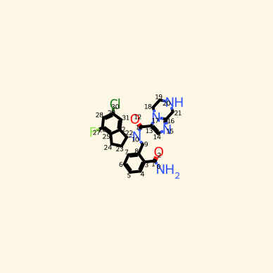 NC(=O)c1ccccc1CN(C(=O)c1cnc2n1CCNC2)[C@@H]1CCc2c(F)cc(Cl)cc21